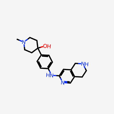 CN1CCC(O)(c2ccc(Nc3cc4c(cn3)CCNC4)cc2)CC1